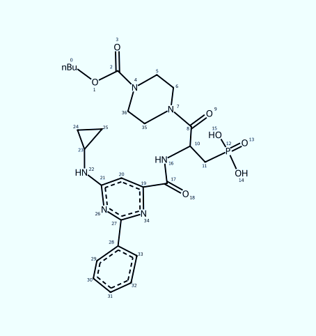 CCCCOC(=O)N1CCN(C(=O)C(CP(=O)(O)O)NC(=O)c2cc(NC3CC3)nc(-c3ccccc3)n2)CC1